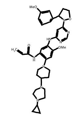 C=CC(=O)Nc1cc(Nc2cc(N3OCCC3c3cccc(OC)c3)ncn2)c(OC)cc1N1CCC(N2CCN(C3CC3)CC2)CC1